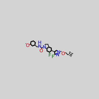 COc1cccc(CNC(=O)N2CCc3cc(-c4cn(COCC[Si](C)(C)C)nc4F)c(F)cc32)c1